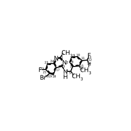 Cc1nc(NC(C)c2cccc(C(F)F)c2C)c2cc(Br)c(F)cc2n1